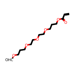 C=CC(=O)OCCCOCCOCCOCCCOC=O